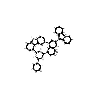 N#Cc1cc(-c2ccc3oc4cccc(-c5nc(-c6ccccc6)nc(-c6ccccc6)n5)c4c3c2)cc(-n2c3ccccc3c3ccccc32)c1